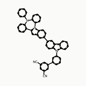 N#Cc1cc(C#N)cc(-c2cccc(-n3c4ccccc4c4cc(-c5ccc6c(c5)cc5n6-c6ccccc6N(c6ccccc6)c6ccccc6-5)ccc43)c2)c1